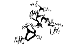 COc1cc(O)c(CNc2nc(NCC(C)N)nc3c2nnn3C(C)C)c(O)c1